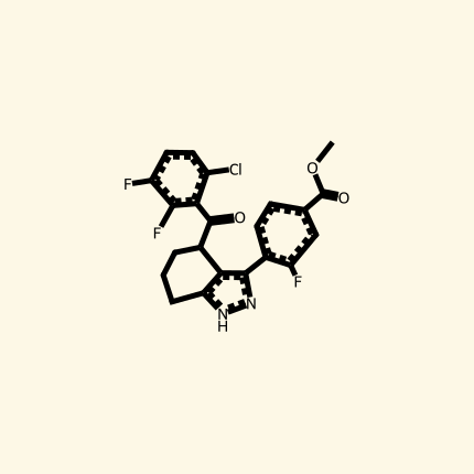 COC(=O)c1ccc(-c2n[nH]c3c2C(C(=O)c2c(Cl)ccc(F)c2F)CCC3)c(F)c1